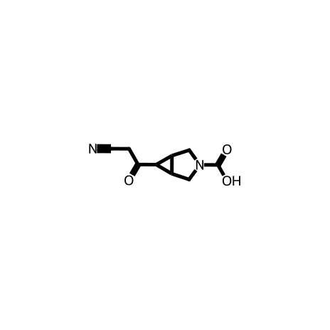 N#CCC(=O)C1C2CN(C(=O)O)CC21